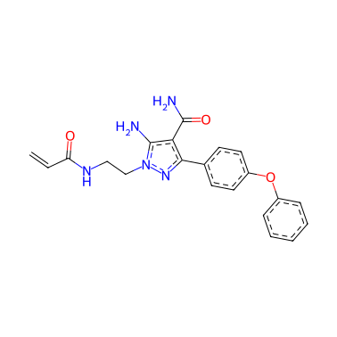 C=CC(=O)NCCn1nc(-c2ccc(Oc3ccccc3)cc2)c(C(N)=O)c1N